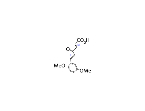 COc1ccc(OC)c(/C=C/C(=O)/C=C/C(=O)O)c1